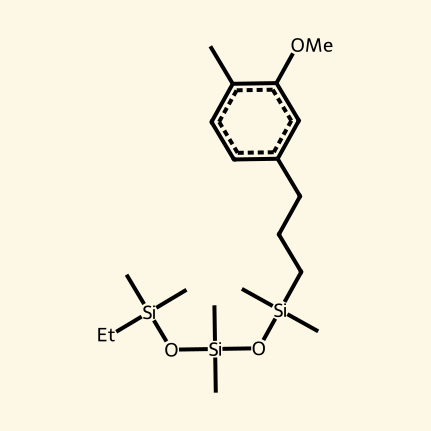 CC[Si](C)(C)O[Si](C)(C)O[Si](C)(C)CCCc1ccc(C)c(OC)c1